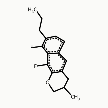 CCCc1ccc2cc3c(c(F)c2c1F)OCC(C)C3